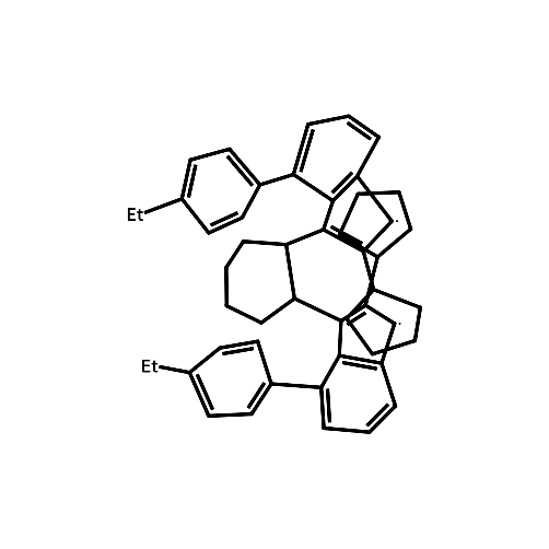 CCc1ccc(-c2cccc3c2C(C2CCCCC2C2=C(C4CCCC4)[CH]c4cccc(-c5ccc(CC)cc5)c42)=C(C2CCCC2)[CH]3)cc1